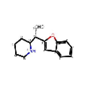 O=C[C@H](c1cc2ccccc2o1)C1CCCCN1